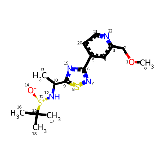 COCc1cc(-c2nsc(C(C)N[S@+]([O-])C(C)(C)C)n2)ccn1